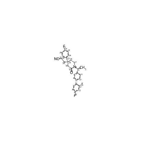 C[C@@H](c1ccc(-c2ccc(F)cc2F)cc1)N1CC[C@@](CCC#N)(c2ccc(F)cc2)CC1=O